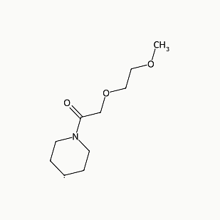 COCCOCC(=O)N1CC[CH]CC1